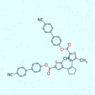 Cc1sc(C(=O)Oc2ccc(-c3ccc(C#N)cc3)cc2)cc1C1=C(c2cc(C(=O)Oc3ccc(-c4ccc(C#N)cc4)cc3)sc2C)CCC1